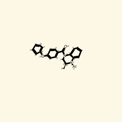 CC(=O)N1c2ccccc2N(C(=O)c2ccc(Oc3ccccc3)cc2)C[C@@H]1C